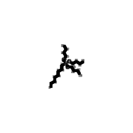 CCCCC=CC=C[Si](OCCCC)(OCCCC)OCCCC